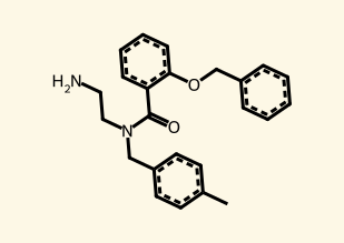 Cc1ccc(CN(CCN)C(=O)c2ccccc2OCc2ccccc2)cc1